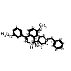 COc1cccc(C2=NNC(N)(C3CCN(Cc4ccccc4)CC3)c3cc(OC)ccc32)c1